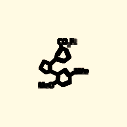 CCOC(=O)c1cccc(C2=C(c3cc(SC)ccc3OC)CCC2)c1